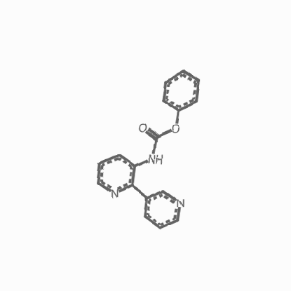 O=C(Nc1cccnc1-c1cccnc1)Oc1ccccc1